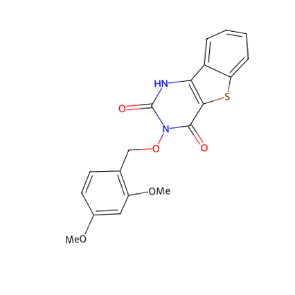 COc1ccc(COn2c(=O)[nH]c3c(sc4ccccc43)c2=O)c(OC)c1